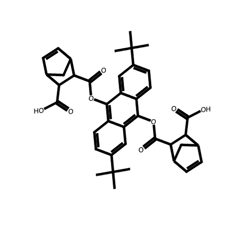 CC(C)(C)c1ccc2c(OC(=O)C3C4C=CC(C4)C3C(=O)O)c3cc(C(C)(C)C)ccc3c(OC(=O)C3C4C=CC(C4)C3C(=O)O)c2c1